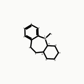 CN1c2ccccc2CCC2CCCCC21